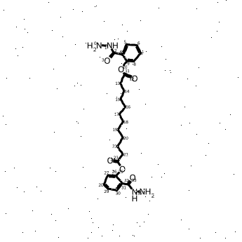 NNC(=O)c1ccccc1OC(=O)CCCCCCCCCCC(=O)Oc1ccccc1C(=O)NN